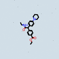 CCNC(=O)C(c1ccc(C(=O)OCC)cc1)c1ccc(N2CCCCC2)cc1